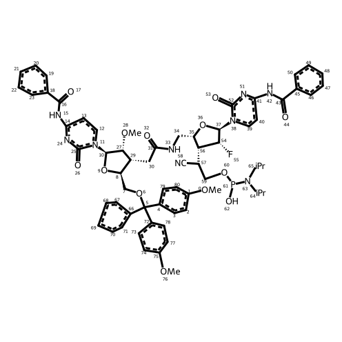 COc1ccc(C(OC[C@H]2O[C@@H](n3ccc(NC(=O)c4ccccc4)nc3=O)[C@H](OC)[C@@H]2CC(=O)NC[C@@H]2O[C@@H](n3ccc(NC(=O)c4ccccc4)nc3=O)[C@H](F)[C@@H]2C(C#N)COP(O)N(C(C)C)C(C)C)(c2ccccc2)c2ccc(OC)cc2)cc1